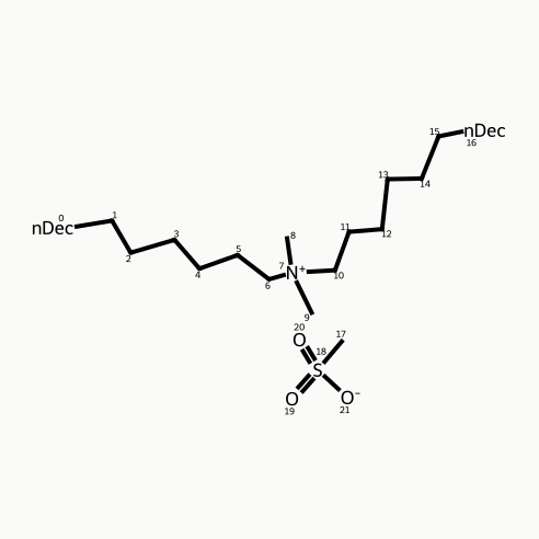 CCCCCCCCCCCCCCCC[N+](C)(C)CCCCCCCCCCCCCCCC.CS(=O)(=O)[O-]